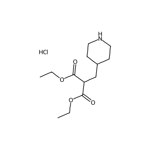 CCOC(=O)C(CC1CCNCC1)C(=O)OCC.Cl